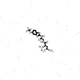 CC(C)CC(N)C(=O)NCC(=O)Nc1nc2ccc(OC(F)(F)F)cc2s1